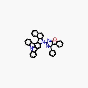 c1ccc(-c2nc(-n3c4ccc5ccccc5c4c4c5c6ccccc6n6c7ccccc7c(cc43)c56)nc3oc4ccccc4c23)cc1